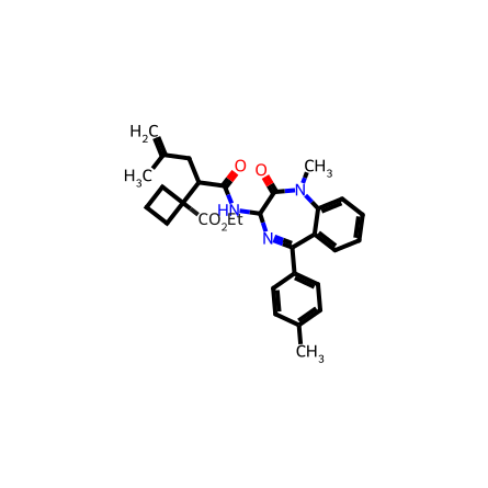 C=C(C)CC(C(=O)NC1N=C(c2ccc(C)cc2)c2ccccc2N(C)C1=O)C1(C(=O)OCC)CCC1